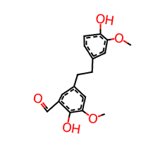 COc1cc(CCc2cc(C=O)c(O)c(OC)c2)ccc1O